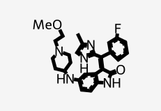 COCCN1CCC(Nc2ccc3c(c2)C(=C(c2cccc(F)c2)c2nc(C)c[nH]2)C(=O)N3)CC1